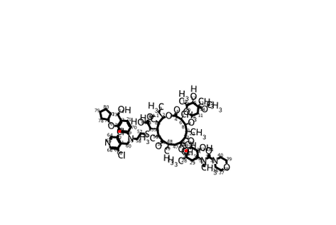 CC[C@H]1OC(=O)[C@H](C)[C@@H](O[C@H]2C[C@@](C)(OC)[C@@H](O)[C@H](C)O2)[C@H](C)[C@@H](O[C@@H]2O[C@H](C)C[C@H](N(C)C(=O)N3CCOCC3)[C@H]2O)[C@](C)(OC)C[C@@H](C)C(=O)[C@H](C)[C@@H]([C@H](SCCN(Cc2c(Cl)cncc2Cl)c2ccc(CO)c(OC3CCCC3)c2)C(=O)O)[C@H]1C